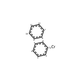 [Cr].c1ccccc1.c1ccccc1